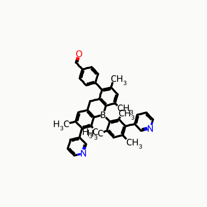 Cc1cc(C)c(-c2cccnc2)c(C)c1B1c2c(cc(C)c(-c3cccnc3)c2C)Cc2c1c(C)cc(C)c2-c1ccc(C=O)cc1